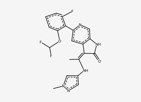 C/C(Nc1cnn(C)c1)=C1/C(=O)Nc2cnc(-c3c(F)cccc3OC(F)F)cc21